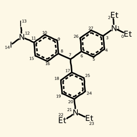 CCN(CC)c1ccc(C(c2ccc(N(I)I)cc2)c2ccc(N(CC)CC)cc2)cc1